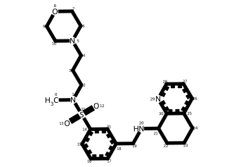 CN(CCCN1CCOCC1)S(=O)(=O)c1cccc(CNC2CCCc3cccnc32)c1